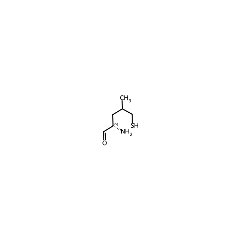 CC(CS)C[C@H](N)C=O